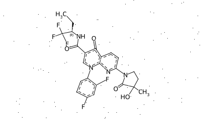 CC[C@@H](NC(=O)c1cn(-c2ccc(F)cc2F)c2nc(N3CCC(C)(O)C3=O)ccc2c1=O)C(F)(F)F